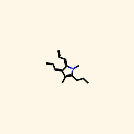 C=C/C=c1/c(C)c(CCC)n(C)/c1=C/C=C